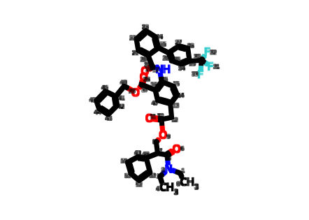 CCN(CC)C(=O)C(COC(=O)Cc1ccc(NC(=O)c2ccccc2-c2ccc(C(F)(F)F)cc2)c(C(=O)OCc2ccccc2)c1)c1ccccc1